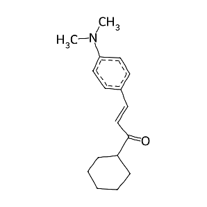 CN(C)c1ccc(C=CC(=O)C2CCCCC2)cc1